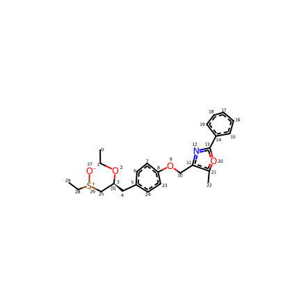 CCO[C@@H](Cc1ccc(OCc2nc(-c3ccccc3)oc2C)cc1)C[S+]([O-])CC